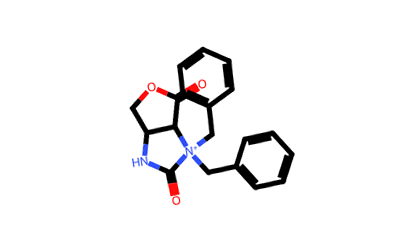 O=C1OCC2NC(=O)[N+](Cc3ccccc3)(Cc3ccccc3)C12